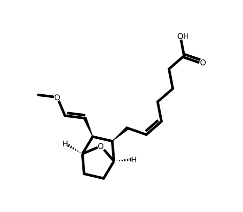 COC=C[C@H]1[C@@H](C/C=C\CCCC(=O)O)[C@H]2CC[C@@H]1O2